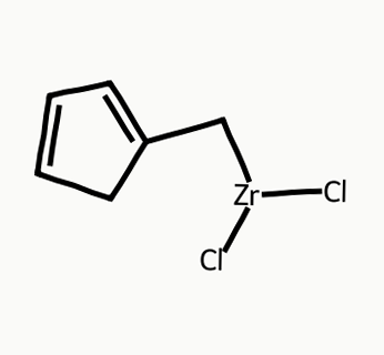 [Cl][Zr]([Cl])[CH2]C1=CC=CC1